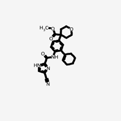 COC(=O)C1(c2ccc(NC(=O)c3nc(C#N)c[nH]3)c(C3=CCCCC3)c2)CCOCC1